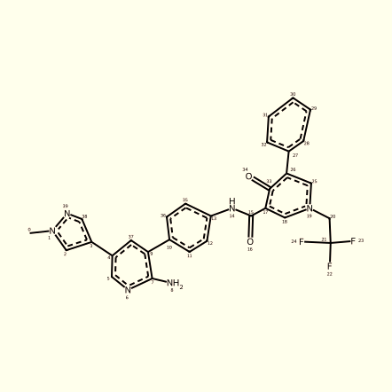 Cn1cc(-c2cnc(N)c(-c3ccc(NC(=O)c4cn(CC(F)(F)F)cc(-c5ccccc5)c4=O)cc3)c2)cn1